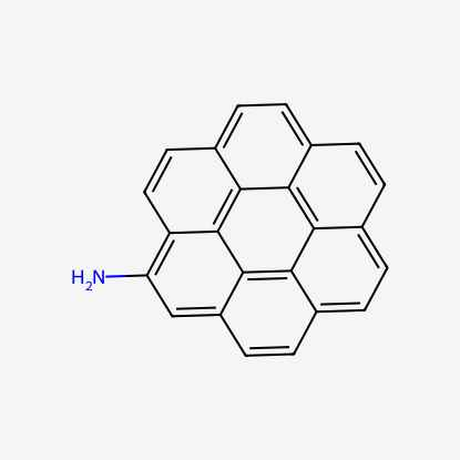 Nc1cc2ccc3ccc4ccc5ccc6ccc1c1c6c5c4c3c21